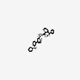 O=C(c1ccccc1)c1cccnc1C(=O)Nc1cc(-c2ccnc(Nc3ccccc3)c2)ccn1